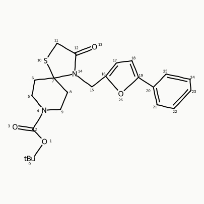 CC(C)(C)OC(=O)N1CCC2(CC1)SCC(=O)N2Cc1ccc(-c2ccccc2)o1